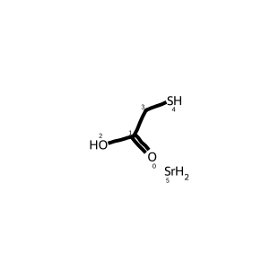 O=C(O)CS.[SrH2]